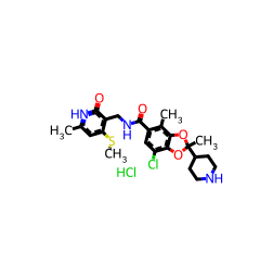 CSc1cc(C)[nH]c(=O)c1CNC(=O)c1cc(Cl)c2c(c1C)OC(C)(C1CCNCC1)O2.Cl